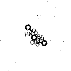 O=C(NC1=CC(=O)C(Br)(NC(=O)c2ccccc2)C(Br)C1=O)c1ccccc1